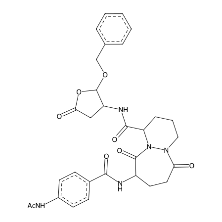 CC(=O)Nc1ccc(C(=O)NC2CCC(=O)N3CCCC(C(=O)NC4CC(=O)OC4OCc4ccccc4)N3C2=O)cc1